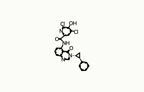 O=C(Nc1cccc2ncn([C@@H]3C[C@H]3c3ccccc3)c(=O)c12)c1cc(Cl)c(O)c(Cl)n1